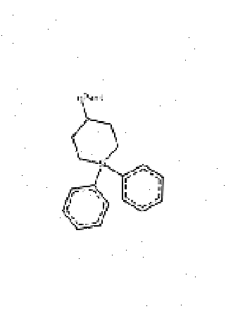 CCCCCC1CC[Si](c2ccccc2)(c2ccccc2)CC1